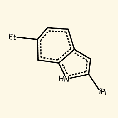 CCc1ccc2cc(C(C)C)[nH]c2c1